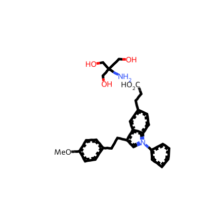 COc1ccc(CCc2cn(-c3ccccc3)c3ccc(CCC(=O)O)cc23)cc1.NC(CO)(CO)CO